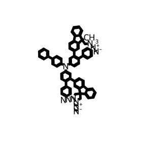 CC1(CN=[N+]=[N-])c2ccccc2-c2ccc(-c3cc(N(c4ccc(-c5ccccc5)cc4)c4ccc(-c5ccccc5)c(-c5ccc6c(c5)C(CN=[N+]=[N-])(CN=[N+]=[N-])c5ccccc5-6)c4)ccc3-c3ccccc3)cc21